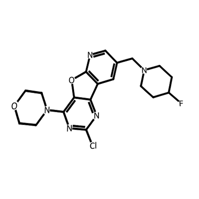 FC1CCN(Cc2cnc3oc4c(N5CCOCC5)nc(Cl)nc4c3c2)CC1